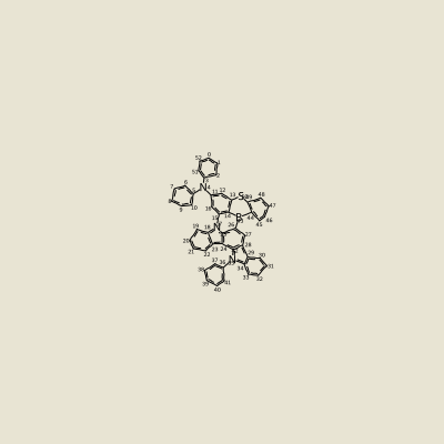 c1ccc(N(c2ccccc2)c2cc3c4c(c2)-n2c5ccccc5c5c2c(cc2c6ccccc6n(-c6ccccc6)c25)B4c2ccccc2S3)cc1